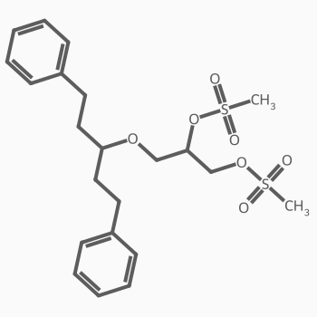 CS(=O)(=O)OCC(COC(CCc1ccccc1)CCc1ccccc1)OS(C)(=O)=O